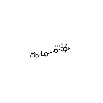 O=c1[nH]cnc(C[C@H](CO)c2ccc(C#Cc3ccc(CN[C@H]4CCS(O)(O)C4)cc3)cc2)c1O